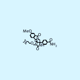 COc1ccc2c(c1)C(=O)N(C[C@@]1(c3ccc(C(N)=O)cc3)NC(=O)N(COCC[Si](C)(C)C)C1=O)C2